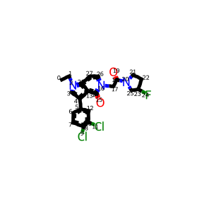 CCn1cc(-c2ccc(Cl)c(Cl)c2)c2c(=O)n(CC(=O)N3CCC(F)C3)ccc21